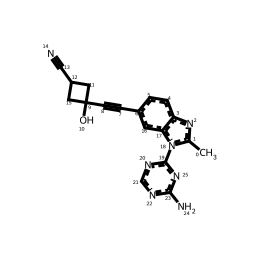 Cc1nc2ccc(C#CC3(O)CC(C#N)C3)cc2n1-c1ncnc(N)n1